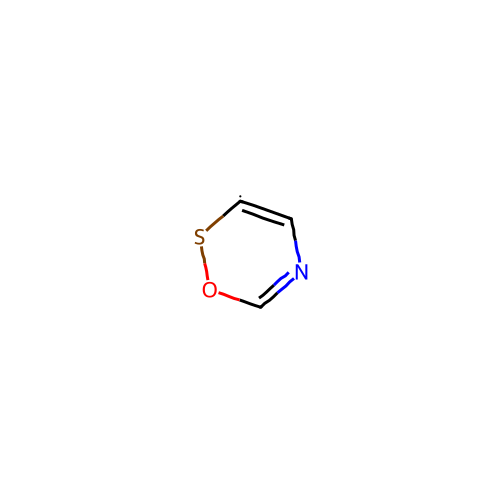 [C]1=CN=COS1